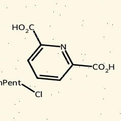 CCCCCCl.O=C(O)c1cccc(C(=O)O)n1